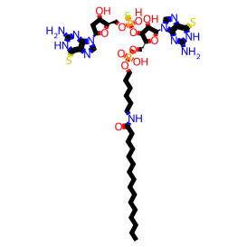 CCCCCCCCCCCCCCCC(=O)NCCCCCCOP(=O)(O)OC[C@H]1O[C@@H](n2cnc3c(=S)[nH]c(N)nc32)C(O)C1OP(O)(=S)OC[C@H]1O[C@@H](n2cnc3c(=S)[nH]c(N)nc32)CC1O